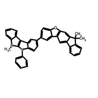 Cn1c2ccccc2c2c3cc(-c4ccc5oc6cc7c(cc6c5c4)-c4ccccc4C7(C)C)ccc3n(-c3ccccc3)c21